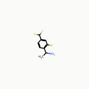 CC(N)c1ccc(C(F)F)cc1F